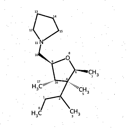 CCC(C)[C@]1(C)[C@H](C)O[C@H](CN2CCCC2)[C@H]1C